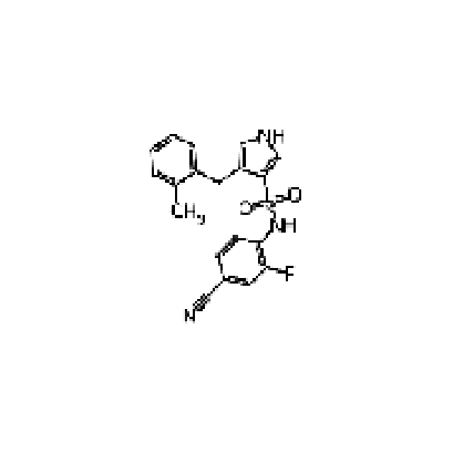 Cc1ccccc1Cc1c[nH]cc1S(=O)(=O)Nc1ccc(C#N)cc1F